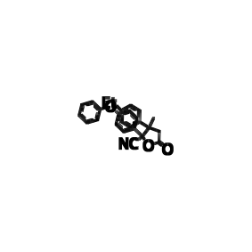 CCc1ccc(C2(C)CC(=O)OC2(C#N)c2ccc(Oc3ccccc3)cc2)cc1